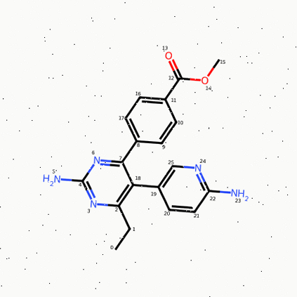 CCc1nc(N)nc(-c2ccc(C(=O)OC)cc2)c1-c1ccc(N)nc1